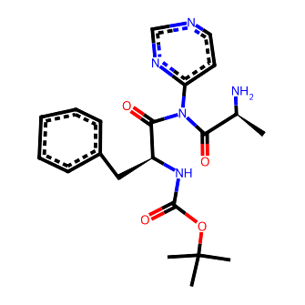 C[C@H](N)C(=O)N(C(=O)[C@H](Cc1ccccc1)NC(=O)OC(C)(C)C)c1ccncn1